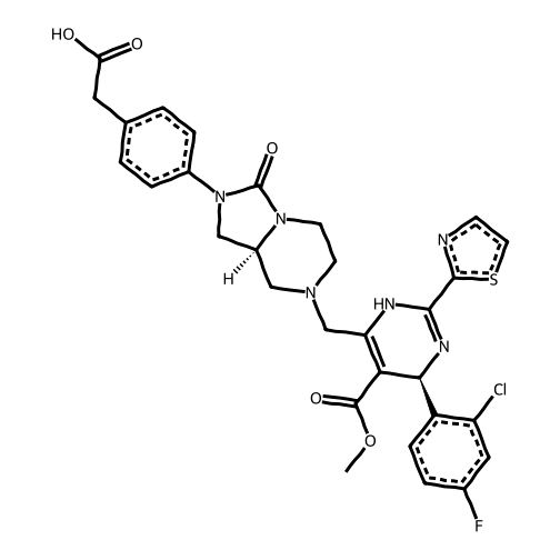 COC(=O)C1=C(CN2CCN3C(=O)N(c4ccc(CC(=O)O)cc4)C[C@@H]3C2)NC(c2nccs2)=N[C@H]1c1ccc(F)cc1Cl